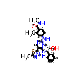 CNC(=O)c1ccc(Nc2ncc(-c3nnc(C)s3)c(N[C@H](CO)c3ccccc3)n2)cc1C